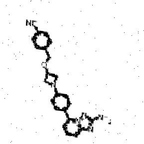 N#Cc1ccc(COC2CN(c3ccc(-c4cccc5nc(N)nn45)cc3)C2)cc1